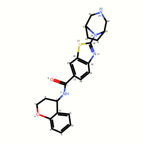 O=C(NC1CCOc2ccccc21)c1ccc2nc(N3C4CCC3CNC4)sc2c1